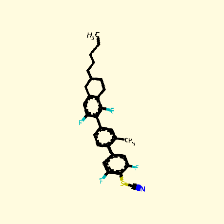 CCCCCC1CCc2c(cc(F)c(-c3ccc(-c4cc(F)c(SC#N)c(F)c4)c(C)c3)c2F)C1